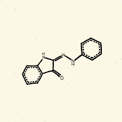 O=C1C(=NNc2ccccc2)Nc2ccccc21